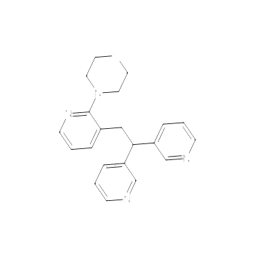 c1cncc(C(Cc2cccnc2N2CCSCC2)c2cccnc2)c1